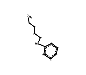 CCCCCNc1[c]cccc1